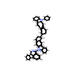 c1ccc(-n2c3ccccc3c3cc4cc(-c5ccc6cc7c(cc6c5)c5ccccc5n7-c5ncc6c7c(cccc57)-c5ccccc5-6)ccc4cc32)cc1